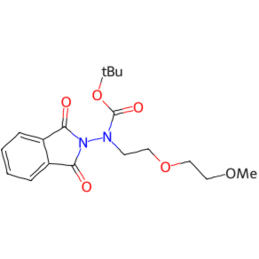 COCCOCCN(C(=O)OC(C)(C)C)N1C(=O)c2ccccc2C1=O